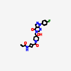 C=CC(=O)NC1CC(C(=O)N2CCC(O)(Cn3cnc4c(cnn4-c4ccc(F)cc4)c3=O)CC2)C1